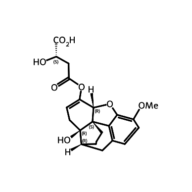 COc1ccc2c3c1O[C@H]1C(OC(=O)C[C@H](O)C(=O)O)=CC[C@@]4(O)[C@H](CCC[C@]314)C2